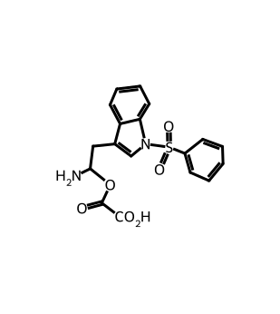 NC(Cc1cn(S(=O)(=O)c2ccccc2)c2ccccc12)OC(=O)C(=O)O